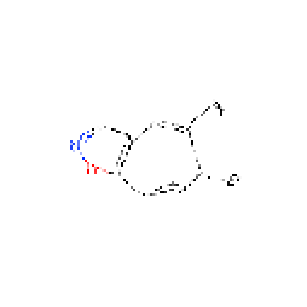 CCC1C=Cc2oncc2C=C1C(C)C